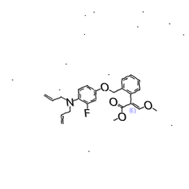 C=CCN(CC=C)c1ccc(OCc2ccccc2/C(=C\OC)C(=O)OC)cc1F